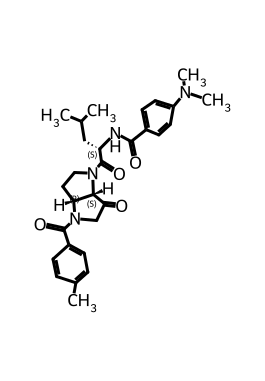 Cc1ccc(C(=O)N2CC(=O)[C@@H]3[C@H]2CCN3C(=O)[C@H](CC(C)C)NC(=O)c2ccc(N(C)C)cc2)cc1